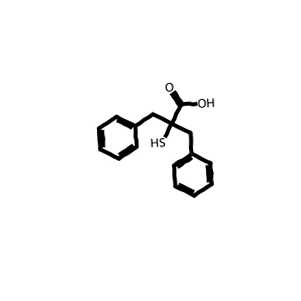 O=C(O)C(S)(Cc1ccccc1)Cc1ccccc1